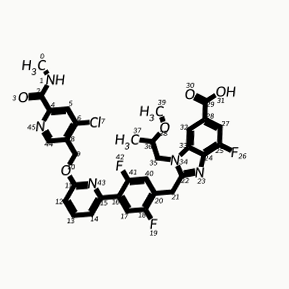 CNC(=O)c1cc(Cl)c(COc2cccc(-c3cc(F)c(Cc4nc5c(F)cc(C(=O)O)cc5n4CC(C)OC)cc3F)n2)cn1